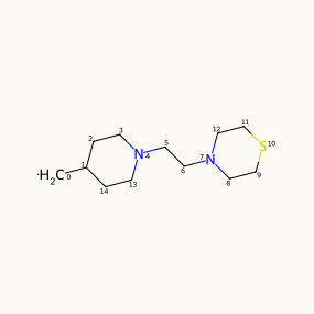 [CH2]C1CCN(CCN2CCSCC2)CC1